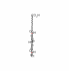 CCOCCNC(=O)COCCOCCNC(=O)COCCOCCNC(=O)CCCCCCCCCCCCCCC(=O)O